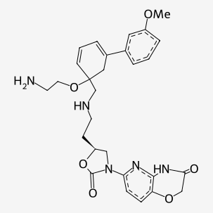 COc1cccc(C2=CC=CC(CNCC[C@H]3CN(c4ccc5c(n4)NC(=O)CO5)C(=O)O3)(OCCN)C2)c1